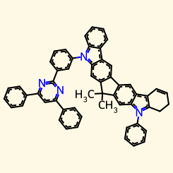 CC1(C)c2cc3c(cc2-c2cc4c5ccccc5n(-c5cccc(-c6nc(-c7ccccc7)cc(-c7ccccc7)n6)c5)c4cc21)c1c(n3-c2ccccc2)CCC=C1